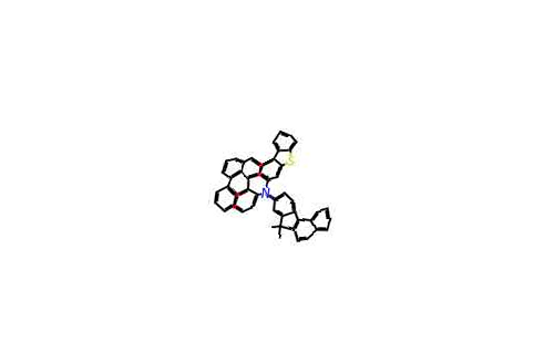 CC1(C)c2cc(N(c3ccc4c(c3)sc3ccccc34)c3ccccc3-c3cccc4cccc(-c5ccccc5)c34)ccc2-c2c1ccc1ccccc21